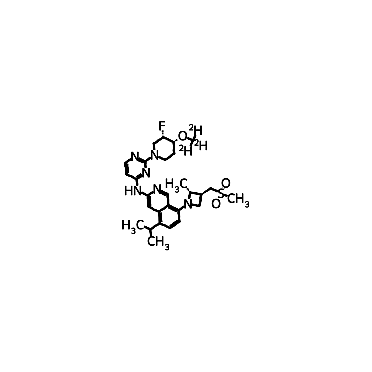 [2H]C([2H])([2H])O[C@@H]1CCN(c2nccc(Nc3cc4c(C(C)C)ccc(N5C[C@H](CS(C)(=O)=O)[C@H]5C)c4cn3)n2)C[C@@H]1F